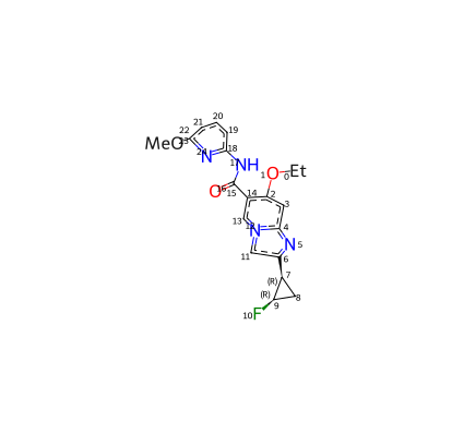 CCOc1cc2nc([C@H]3C[C@H]3F)cn2cc1C(=O)Nc1cccc(OC)n1